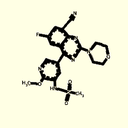 COc1ncc(-c2nc(N3CCOCC3)nc3c(C#N)cc(F)cc23)cc1NS(C)(=O)=O